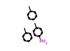 Cc1ccc(P)cc1.Cc1ccccc1.Cc1ccccc1